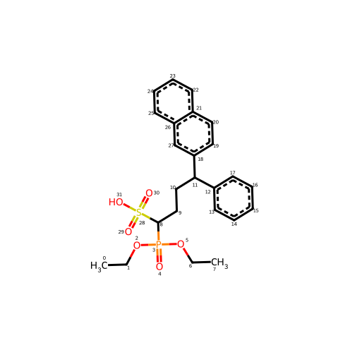 CCOP(=O)(OCC)C(CCC(c1ccccc1)c1ccc2ccccc2c1)S(=O)(=O)O